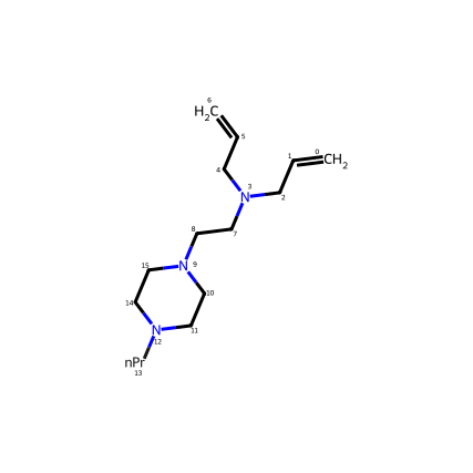 C=CCN(CC=C)CCN1CCN(CCC)CC1